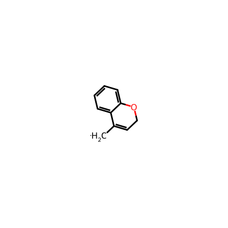 [CH2]C1=CCOc2ccccc21